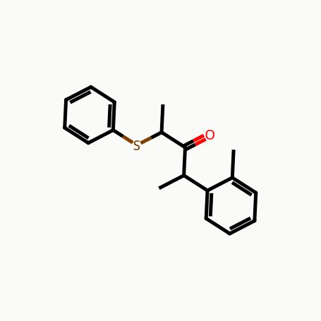 Cc1ccccc1C(C)C(=O)C(C)Sc1ccccc1